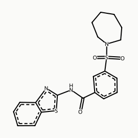 O=C(Nc1nc2ccccc2s1)c1cccc(S(=O)(=O)N2CCCCCC2)c1